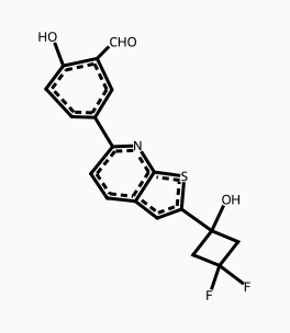 O=Cc1cc(-c2ccc3cc(C4(O)CC(F)(F)C4)sc3n2)ccc1O